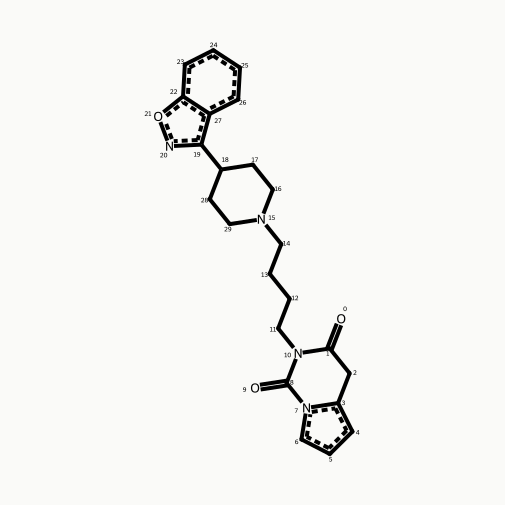 O=C1Cc2cccn2C(=O)N1CCCCN1CCC(c2noc3ccccc23)CC1